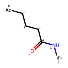 CC(=O)CCCC(=O)NC(C)C